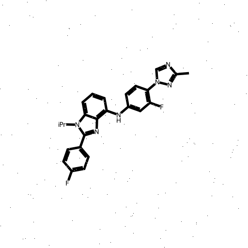 Cc1ncn(-c2ccc(Nc3cccc4c3nc(-c3ccc(F)cc3)n4C(C)C)cc2F)n1